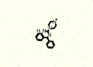 CN1CCN(C(N)=NC(c2ccccc2)c2ccccc2)CC1